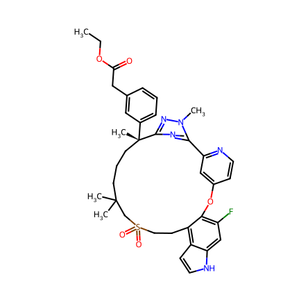 CCOC(=O)Cc1cccc([C@@]2(C)CCCC(C)(C)CS(=O)(=O)CCc3c(c(F)cc4[nH]ccc34)Oc3ccnc(c3)-c3nc2nn3C)c1